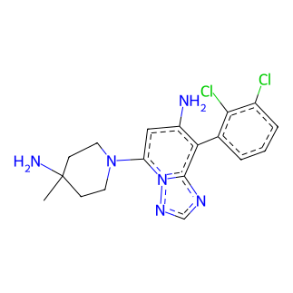 CC1(N)CCN(c2cc(N)c(-c3cccc(Cl)c3Cl)c3ncnn23)CC1